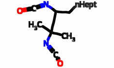 CCCCCCCCC(N=C=O)C(C)(C)N=C=O